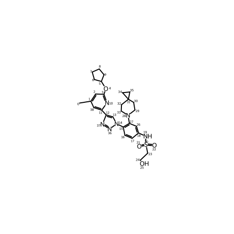 Cc1cc(OC2CCCC2)nc(-c2cn(-c3ccc(NS(=O)(=O)CCO)cc3N3CCC4(CC3)CC4)nn2)c1